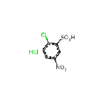 Cl.O=[N+]([O-])c1ccc(Cl)c(S(=O)(=O)O)c1